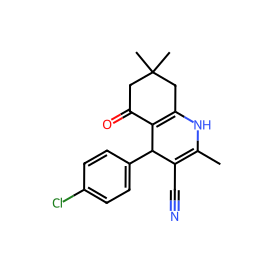 CC1=C(C#N)C(c2ccc(Cl)cc2)C2=C(CC(C)(C)CC2=O)N1